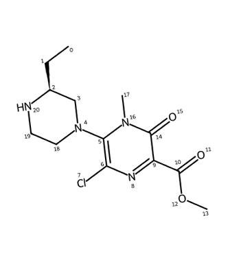 CC[C@H]1CN(c2c(Cl)nc(C(=O)OC)c(=O)n2C)CCN1